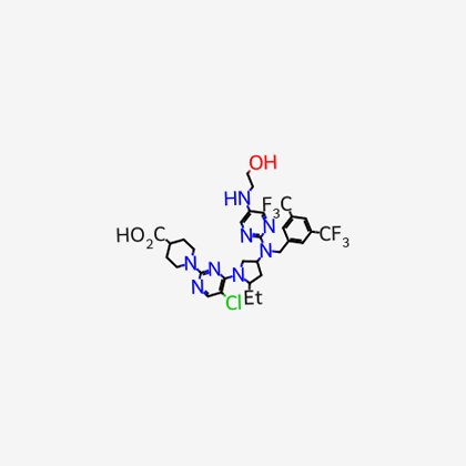 CCC1CC(N(Cc2cc(C(F)(F)F)cc(C(F)(F)F)c2)c2ncc(NCCO)cn2)CN1c1nc(N2CCC(C(=O)O)CC2)ncc1Cl